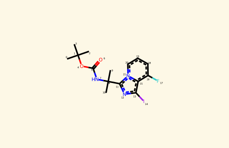 CC(C)(C)OC(=O)NC(C)(C)c1nc(I)c2c(F)cccn12